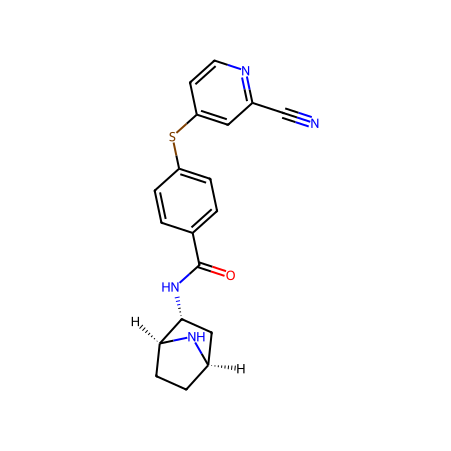 N#Cc1cc(Sc2ccc(C(=O)N[C@@H]3C[C@H]4CC[C@@H]3N4)cc2)ccn1